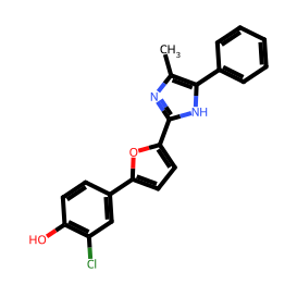 Cc1nc(-c2ccc(-c3ccc(O)c(Cl)c3)o2)[nH]c1-c1ccccc1